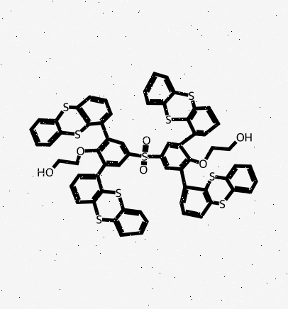 O=S(=O)(c1cc(-c2cccc3c2Sc2ccccc2S3)c(OCCO)c(-c2cccc3c2Sc2ccccc2S3)c1)c1cc(-c2cccc3c2Sc2ccccc2S3)c(OCCO)c(-c2cccc3c2Sc2ccccc2S3)c1